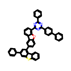 c1ccc(-c2ccc(-c3nc(-c4ccccc4)nc(-c4cccc5c4oc4ccc(-c6cc(-c7ccccc7)cc7sc8ccccc8c67)cc45)n3)cc2)cc1